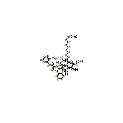 CCCCCCCCCCCCCCCCCCN(C(=O)CCCCCCCCCCC)[C@@H]1O[C@H](CO)[C@@H](O)[C@H](O)[C@H]1NC(=O)[C@H](Cc1ccccc1)NC(=O)OCc1ccccc1